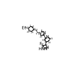 CCc1ccc(CCn2cnc(-c3cc(-c4nn[nH]c4F)ccn3)c2)cc1